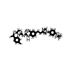 Cc1ccc(C(C)C)c(N2C(=O)CSC2=NC(=O)Nc2ccc(CCc3ncn(-c4ccc(OC(F)(F)F)cc4)n3)cc2Cl)c1